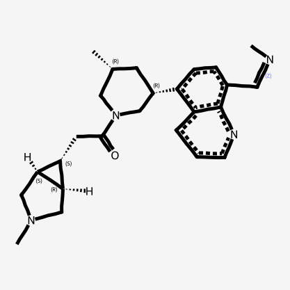 C/N=C\c1ccc([C@H]2C[C@@H](C)CN(C(=O)C[C@@H]3[C@H]4CN(C)C[C@@H]34)C2)c2cccnc12